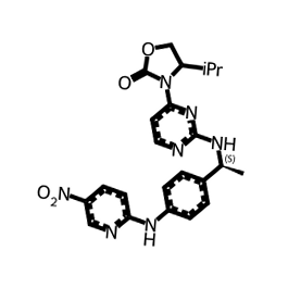 CC(C)C1COC(=O)N1c1ccnc(N[C@@H](C)c2ccc(Nc3ccc([N+](=O)[O-])cn3)cc2)n1